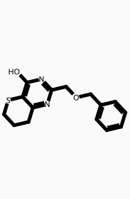 Oc1nc(COCc2ccccc2)nc2c1SCCC2